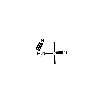 C#N.CP(C)(N)=O